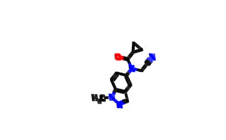 Cn1ncc2cc(N(CC#N)C(=O)C3CC3)ccc21